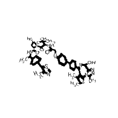 Cc1ncsc1-c1ccc(C(C)NC(=O)[C@@H]2C[C@@H](O)CN2C(=O)C(NC(=O)COc2ccc(-c3ccc(C4=NC(O)c5nnc(C)n5-c5sc(C)c(C)c54)cc3)cc2)C(C)(C)C)cc1